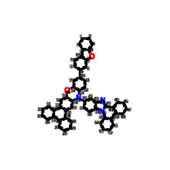 c1ccc2c(c1)oc1cc(-c3ccc4c(c3)Oc3cc5c6ccccc6c6ccccc6c5cc3N4c3ccc4c(c3)nc3c5ccccc5c5ccccc5n43)ccc12